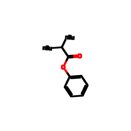 CCCCC(CCCC)C(=O)Oc1ccccc1